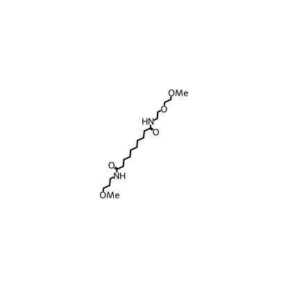 COCCCNC(=O)CCCCCCCCC(=O)NCCOCCOC